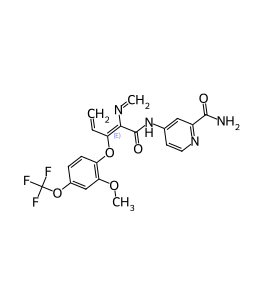 C=C/C(Oc1ccc(OC(F)(F)F)cc1OC)=C(\N=C)C(=O)Nc1ccnc(C(N)=O)c1